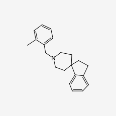 Cc1ccccc1CN1CCC2(CCc3ccccc32)CC1